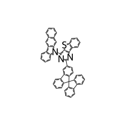 c1ccc2c(c1)-c1ccccc1C21c2ccccc2-c2cc(-c3nc(-n4c5ccccc5c5cc6ccccc6cc54)c4sc5ccccc5c4n3)ccc21